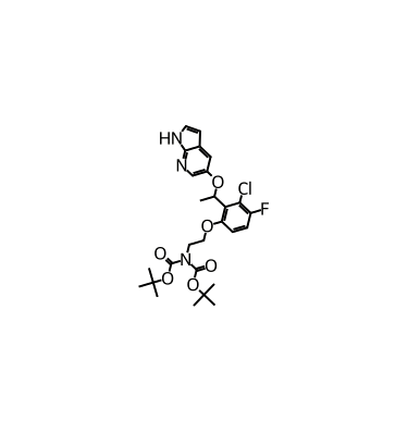 CC(Oc1cnc2[nH]ccc2c1)c1c(OCCN(C(=O)OC(C)(C)C)C(=O)OC(C)(C)C)ccc(F)c1Cl